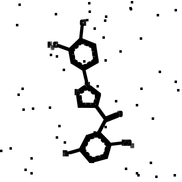 O=C(c1cnn(-c2ccc(Cl)c(C(F)(F)F)c2)c1)c1cc(Br)ccc1[N+](=O)[O-]